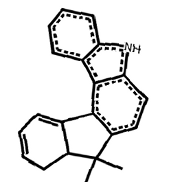 CC1(C)c2ccc3[nH]c4ccccc4c3c2C2=CC=CCC21